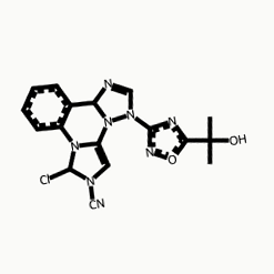 CC(C)(O)c1nc(N2C=NC3c4ccccc4N4C(=CN(C#N)C4Cl)N32)no1